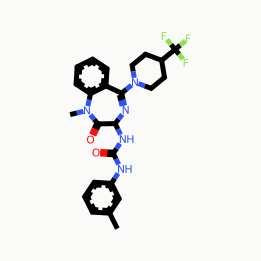 Cc1cccc(NC(=O)NC2N=C(N3CCC(C(F)(F)F)CC3)c3ccccc3N(C)C2=O)c1